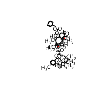 COc1cc(C)ccc1C1O[C@@H](C(=O)O[C@H]2C[C@@]3(O)[C@@H](C)[C@@H]4[C@]5(C)CO[C@@H]5C[C@H](OC(=O)OCc5ccccc5)[C@@]4(C)C(=O)[C@@H](C)C(=C2C)C3(C)C)[C@H](CC(C)C)N1C(=O)OC(C)(C)C